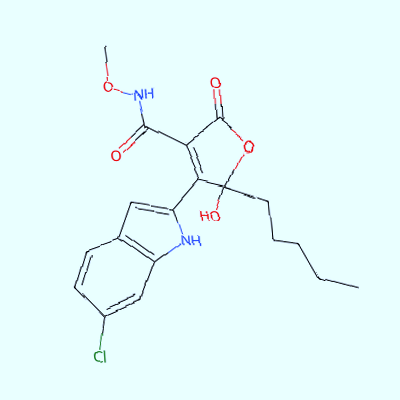 CCCCCC1(O)OC(=O)C(C(=O)NOC)=C1c1cc2ccc(Cl)cc2[nH]1